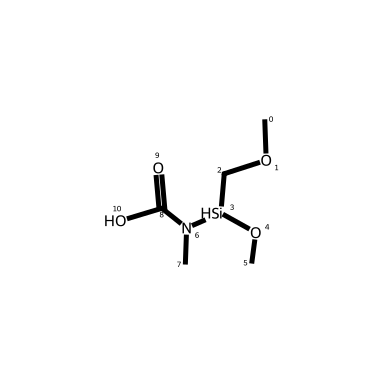 COC[SiH](OC)N(C)C(=O)O